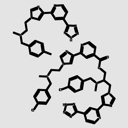 CN(CCn1cnc(-c2cc(C(=O)OCC(Cn3cnc(-c4cc(-c5nn[nH]n5)ccn4)c3)N(C)Cc3ccc(Cl)cc3)ccn2)c1)Cc1ccc(Cl)cc1.Cc1ccc(CN(C)CCn2cnc(-c3cc(-c4nn[nH]n4)ccn3)c2)cc1